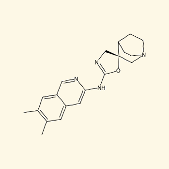 Cc1cc2cnc(NC3=NC[C@@]4(CN5CCC4CC5)O3)cc2cc1C